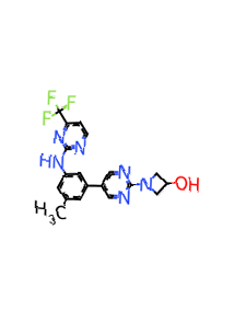 Cc1cc(Nc2nccc(C(F)(F)F)n2)cc(-c2cnc(N3CC(O)C3)nc2)c1